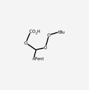 CCCCCC(OOC(C)(C)C)OC(=O)O